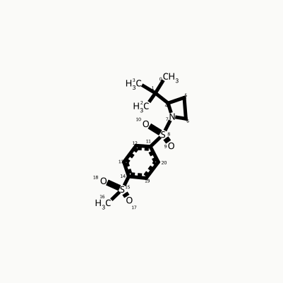 CC(C)(C)C1CCN1S(=O)(=O)c1ccc(S(C)(=O)=O)cc1